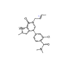 C/C=C/Cn1cc(-c2ccc(C(=O)N(C)C)c(Cl)c2)c2cc(C)[nH]c2c1=O